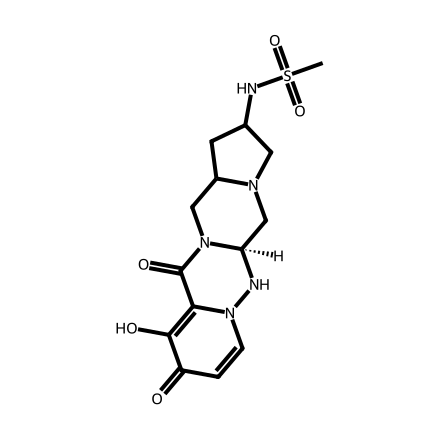 CS(=O)(=O)NC1CC2CN3C(=O)c4c(O)c(=O)ccn4N[C@@H]3CN2C1